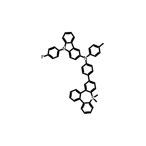 Cc1ccc(N(c2ccc(-c3ccc4c(c3)-c3ccccc3-c3ccccc3S4(C)C)cc2)c2ccc3c(c2)c2ccccc2n3-c2ccc(F)cc2)cc1